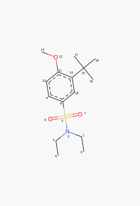 CCN(CC)S(=O)(=O)c1ccc(OC)c(C(C)(C)C)c1